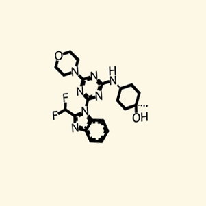 C[C@]1(O)CC[C@H](Nc2nc(N3CCOCC3)nc(-n3c(C(F)F)nc4ccccc43)n2)CC1